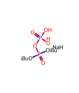 CC(C)COP(=O)(OCC(C)C)OP(=O)(O)O.[NaH]